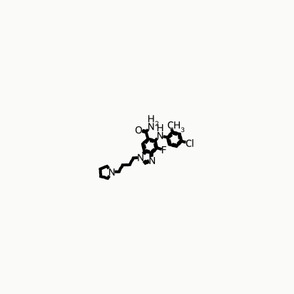 Cc1cc(Cl)ccc1Nc1c(C(N)=O)cc2c(ncn2CCCCN2CCCC2)c1F